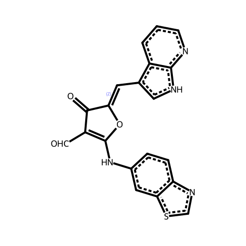 O=CC1=C(Nc2ccc3ncsc3c2)O/C(=C\c2c[nH]c3ncccc23)C1=O